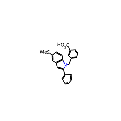 CSc1ccc2c(c1)cc(-c1ccccc1)n2Cc1cccc(C(=O)O)c1